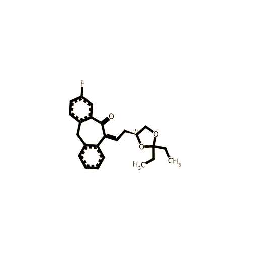 CCC1(CC)OC[C@H](CC=C2C(=O)c3cc(F)ccc3Cc3ccccc32)O1